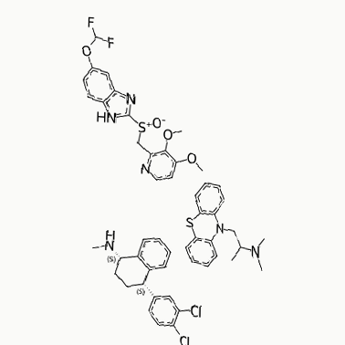 CC(CN1c2ccccc2Sc2ccccc21)N(C)C.CN[C@H]1CC[C@@H](c2ccc(Cl)c(Cl)c2)c2ccccc21.COc1ccnc(C[S+]([O-])c2nc3cc(OC(F)F)ccc3[nH]2)c1OC